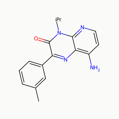 Cc1cccc(-c2nc3c(N)ccnc3n(C(C)C)c2=O)c1